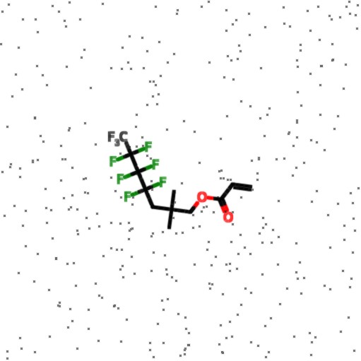 C=CC(=O)OCC(C)(C)CC(F)(F)C(F)(F)C(F)(F)C(F)(F)F